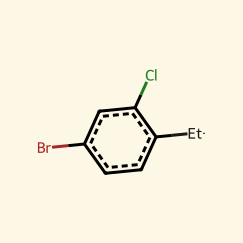 C[CH]c1ccc(Br)cc1Cl